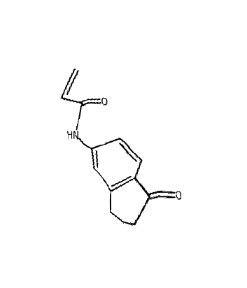 C=CC(=O)Nc1ccc2c(c1)CCC2=O